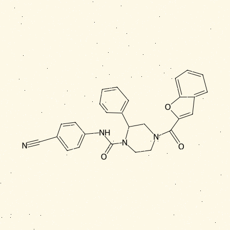 N#Cc1ccc(NC(=O)N2CCN(C(=O)c3cc4ccccc4o3)CC2c2ccccc2)cc1